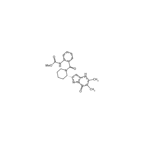 COC(=O)Nc1ccccc1C(=O)N1CCCC[C@H]1c1cc2[nH]c(C)c(C)c(=O)n2n1